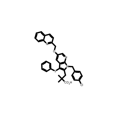 CC(C)(Cc1c(Sc2ccccc2)c2cc(OCc3ccc4ccccc4n3)cnc2n1Cc1ccc(Cl)cc1)C(=O)O